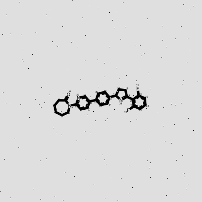 O=C1CCCCCN1c1ccc(-c2ccc(C3CCC(c4c(F)cccc4F)=N3)cc2)cn1